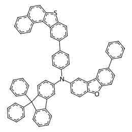 c1ccc(-c2ccc3oc4ccc(N(c5ccc(-c6ccc7sc8ccc9ccccc9c8c7c6)cc5)c5ccc6c(c5)-c5ccccc5C6(c5ccccc5)c5ccccc5)cc4c3c2)cc1